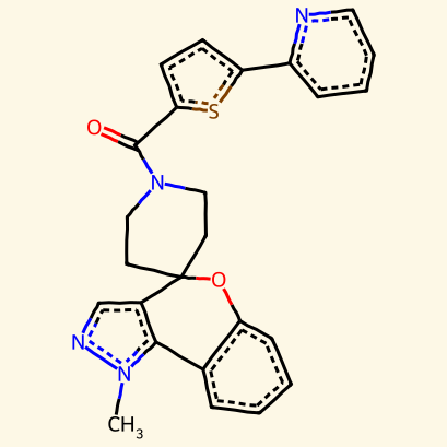 Cn1ncc2c1-c1ccccc1OC21CCN(C(=O)c2ccc(-c3ccccn3)s2)CC1